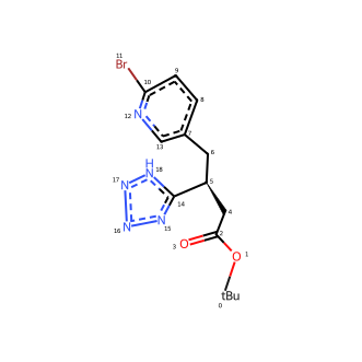 CC(C)(C)OC(=O)C[C@H](Cc1ccc(Br)nc1)c1nnn[nH]1